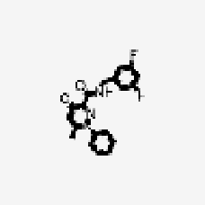 Cc1cc(=O)c(C(=O)NCc2cc(F)cc(F)c2)nn1-c1ccccc1